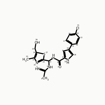 CC(=N)NC(NC(=O)c1cc(-c2ccc(Cl)cc2)c[nH]1)c1nc(C)c(CO)s1